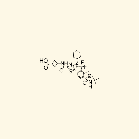 Cc1c(S(=O)(=O)NC(C)(C)C)ccc(-c2sc(C(=O)NC3CC(C(=O)O)C3)nc2CC2CCCCC2)c1C(F)(F)F